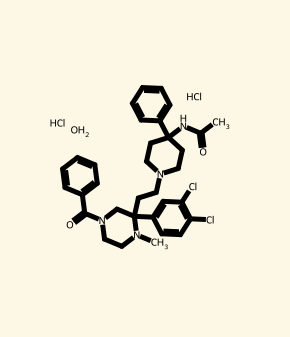 CC(=O)NC1(c2ccccc2)CCN(CCC2(c3ccc(Cl)c(Cl)c3)CN(C(=O)c3ccccc3)CCN2C)CC1.Cl.Cl.O